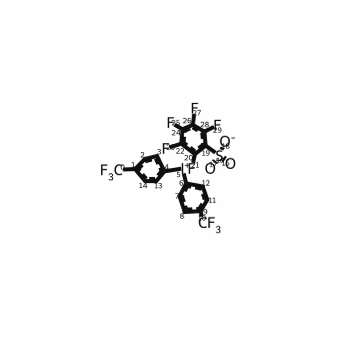 FC(F)(F)c1ccc([I+]c2ccc(C(F)(F)F)cc2)cc1.O=S(=O)([O-])c1c(F)c(F)c(F)c(F)c1F